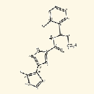 Cc1ccccc1C(CC(=O)O)NC(=O)c1nc(-c2ccoc2C)no1